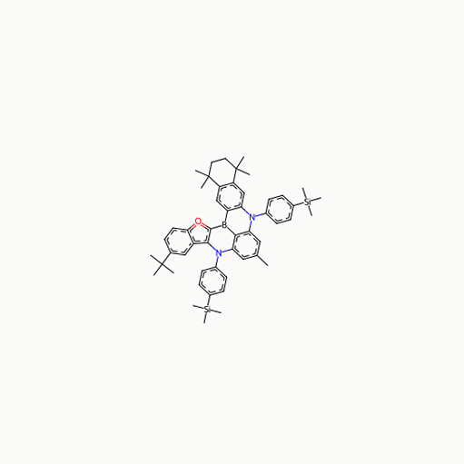 Cc1cc2c3c(c1)N(c1ccc([Si](C)(C)C)cc1)c1c(oc4ccc(C(C)(C)C)cc14)B3c1cc3c(cc1N2c1ccc([Si](C)(C)C)cc1)C(C)(C)CCC3(C)C